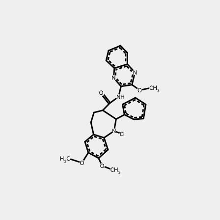 COc1cc2c(cc1OC)N(Cl)C(c1ccccc1)C(C(=O)Nc1nc3ccccc3nc1OC)CC2